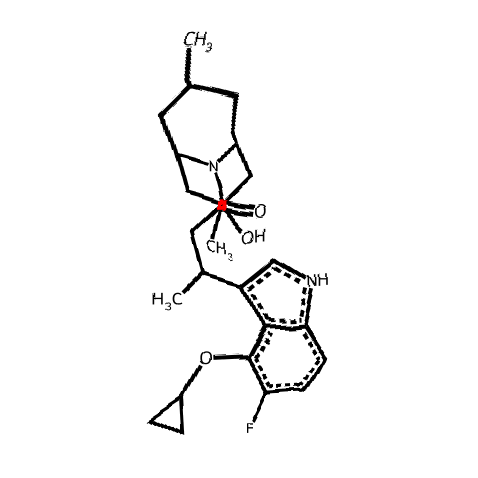 CC1CC2CC(C)(O)CC(C1)N2C(=O)CC(C)c1c[nH]c2ccc(F)c(OC3CC3)c12